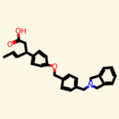 CC=CC(CC(=O)O)c1ccc(OCc2ccc(CN3Cc4ccccc4C3)cc2)cc1